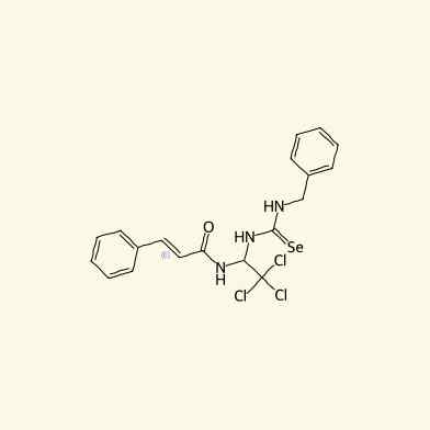 O=C(/C=C/c1ccccc1)NC(NC(=[Se])NCc1ccccc1)C(Cl)(Cl)Cl